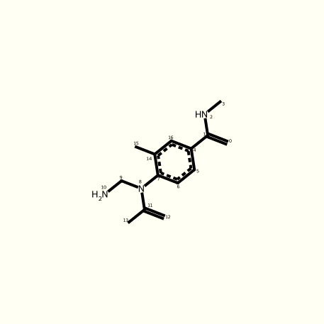 C=C(NC)c1ccc(N(CN)C(=C)C)c(C)c1